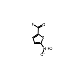 O=C(F)c1ccc([N+](=O)[O-])s1